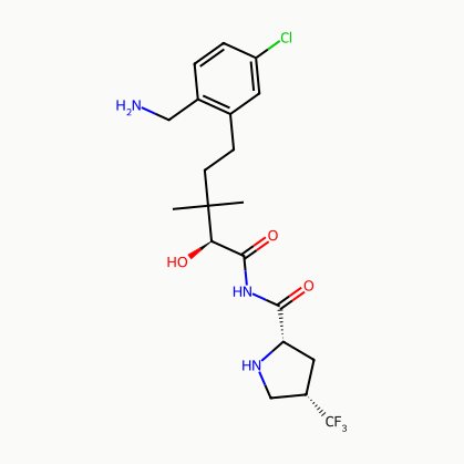 CC(C)(CCc1cc(Cl)ccc1CN)[C@H](O)C(=O)NC(=O)[C@@H]1C[C@H](C(F)(F)F)CN1